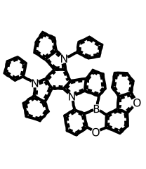 c1ccc(-n2c3ccccc3c3c2c2c4cccc5c4n(c2c2c4ccccc4n(-c4ccccc4)c32)-c2cccc3c2B5c2c(ccc4oc5ccccc5c24)O3)cc1